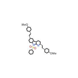 COc1ccc(C=Cc2ccc3c(c2)c2ccc(C=Cc4ccc(OC)cc4)nc2n3S(=O)(=O)c2ccccc2)cc1